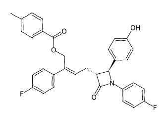 Cc1ccc(C(=O)OC/C(=C\C[C@H]2C(=O)N(c3ccc(F)cc3)[C@@H]2c2ccc(O)cc2)c2ccc(F)cc2)cc1